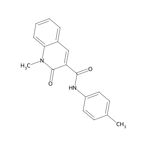 Cc1ccc(NC(=O)c2cc3ccccc3n(C)c2=O)cc1